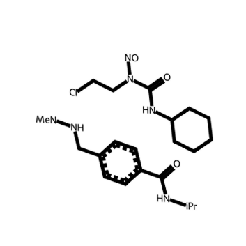 CNNCc1ccc(C(=O)NC(C)C)cc1.O=NN(CCCl)C(=O)NC1CCCCC1